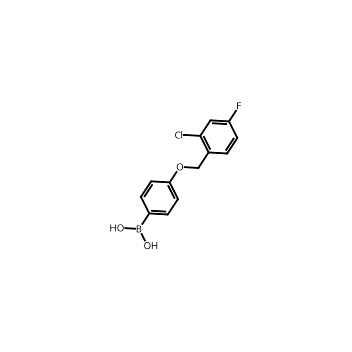 OB(O)c1ccc(OCc2ccc(F)cc2Cl)cc1